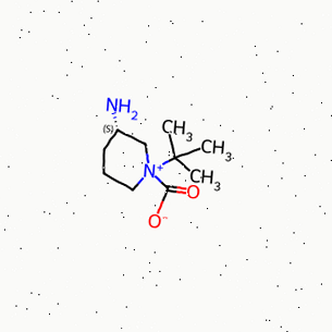 CC(C)(C)[N+]1(C(=O)[O-])CCC[C@H](N)C1